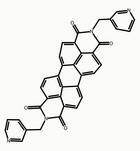 O=C1c2ccc3c4ccc5c6c(ccc(c7ccc(c2c37)C(=O)N1Cc1cccnc1)c64)C(=O)N(Cc1cccnc1)C5=O